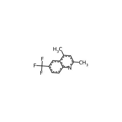 Cc1cc(C)c2cc(C(F)(F)F)ccc2n1